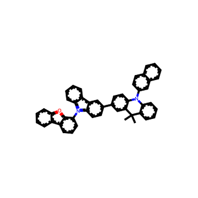 CC1(C)c2ccccc2N(c2ccc3ccccc3c2)c2ccc(-c3ccc4c(c3)c3ccccc3n4-c3cccc4c3oc3ccccc34)cc21